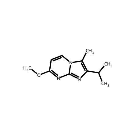 COc1ccn2c(C)c(C(C)C)nc2n1